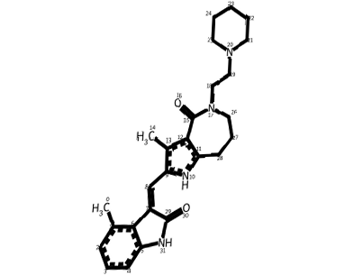 Cc1cccc2c1C(=Cc1[nH]c3c(c1C)C(=O)N(CCN1CCCCC1)CCC3)C(=O)N2